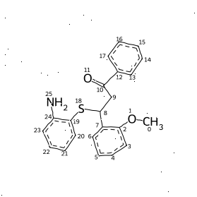 COc1ccccc1C(CC(=O)c1ccccc1)Sc1ccccc1N